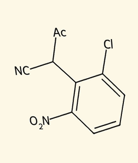 CC(=O)C(C#N)c1c(Cl)cccc1[N+](=O)[O-]